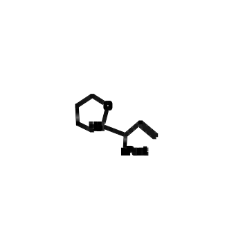 C=CC(CCCCC)[SiH]1CCCCO1